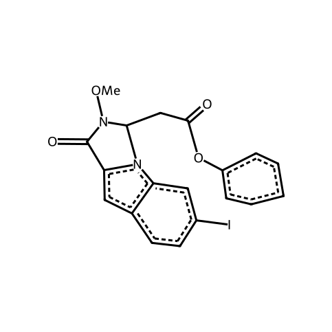 CON1C(=O)c2cc3ccc(I)cc3n2C1CC(=O)Oc1ccccc1